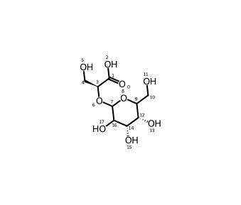 O=C(O)[C@H](CO)OC1OC(CO)[C@H](O)[C@H](O)C1O